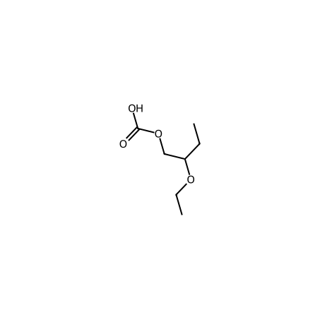 CCOC(CC)COC(=O)O